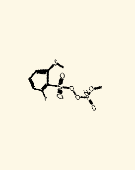 CO[PH](=O)OOS(=O)(=O)c1c(F)cccc1SC